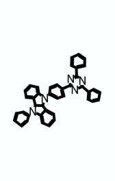 c1ccc(-c2nc(-c3ccccc3)nc(-c3ccc(N4c5ccccc5C5C4c4ccccc4N5c4ccccc4)cc3)n2)cc1